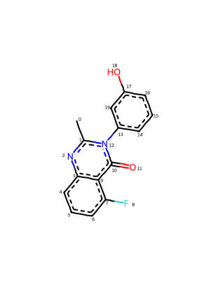 Cc1nc2cccc(F)c2c(=O)n1-c1cccc(O)c1